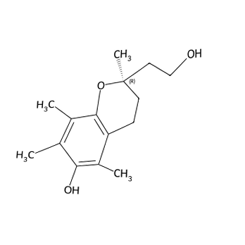 Cc1c(C)c2c(c(C)c1O)CC[C@](C)(CCO)O2